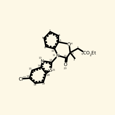 CCOC(=O)CC1(C)Oc2ccccc2N(c2nc3cc(Cl)ccc3s2)C1=O